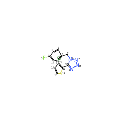 Fc1ccc(Cn2nnnc2-c2sccc2Cl)cc1